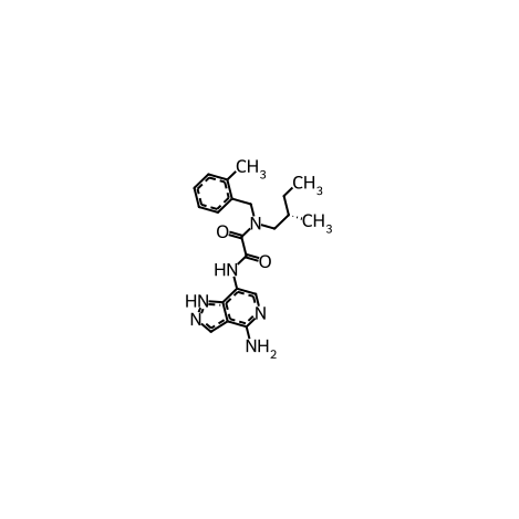 CC[C@H](C)CN(Cc1ccccc1C)C(=O)C(=O)Nc1cnc(N)c2cn[nH]c12